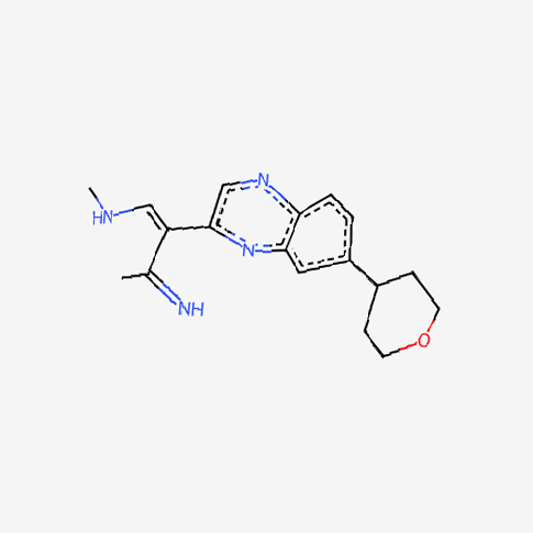 CN/C=C(\C(C)=N)c1cnc2ccc(C3CCOCC3)cc2n1